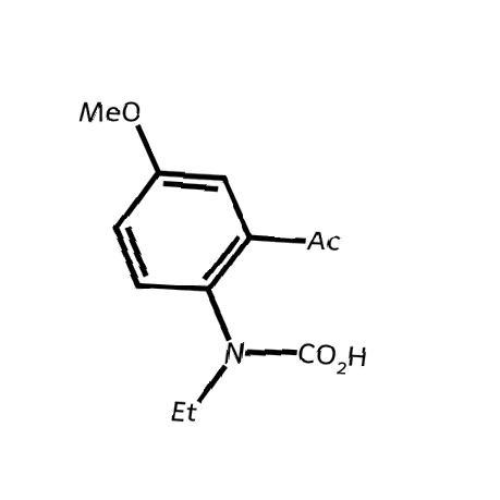 CCN(C(=O)O)c1ccc(OC)cc1C(C)=O